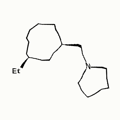 CC[C@H]1CCC[C@@H](CN2CCCC2)C1